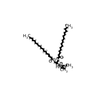 CCCCCCCCCCCCCCCCCC(=O)OCC(COC(=O)CCCCCCCCCCCCCCCCC)OC(=O)NC1(C)CN(C)C1